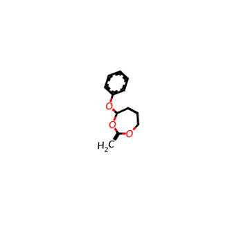 C=C1OCCCC(Oc2ccccc2)O1